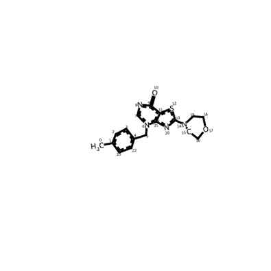 Cc1ccc(Cn2cnc(=O)c3sc(N4CCOCC4)nc32)cc1